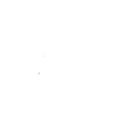 CCOCC[PH](=O)O[C@@H](Cc1ccccc1)C(=O)NCCC(=O)OCC